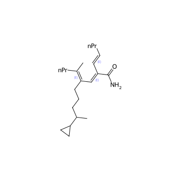 CCC/C=C/C(=C\C(CCCC(C)C1CC1)=C(/C)CCC)C(N)=O